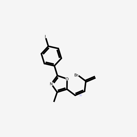 C=C(Br)/C=C\c1oc(-c2ccc(I)cc2)nc1C